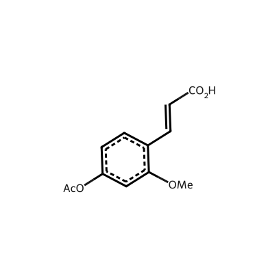 COc1cc(OC(C)=O)ccc1C=CC(=O)O